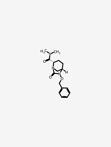 CN(C)C(=O)[C@@H]1CC[C@H]2CN1C(=O)N2OCc1ccccc1